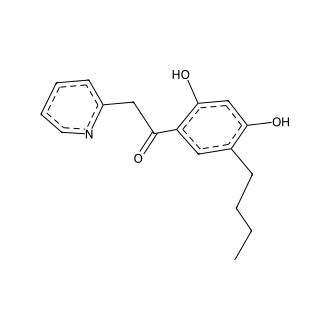 CCCCc1cc(C(=O)Cc2ccccn2)c(O)cc1O